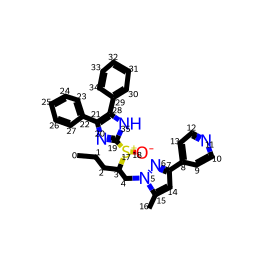 CCCC(Cn1nc(-c2ccncc2)cc1C)[S+]([O-])c1nc(-c2ccccc2)c(-c2ccccc2)[nH]1